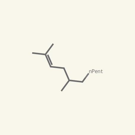 CCCCCCC(C)CC=C(C)C